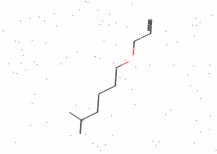 C=CCOCCCCC(C)C